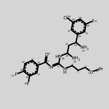 CC(C)OCCCN/C(=N/C(=O)c1ccc(F)c(F)c1)NC(N)CC(N)c1cc(F)cc(Cl)c1